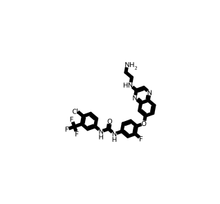 NCCNc1cnc2ccc(Oc3ccc(NC(=O)Nc4ccc(Cl)c(C(F)(F)F)c4)cc3F)cc2n1